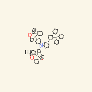 CC12C=CC=CC1Oc1ccccc1[C@]21c2ccccc2-c2cc(N(c3cccc(-c4ccc5c(c4)C(c4ccccc4)(c4ccccc4)c4ccccc4-5)c3)c3ccc4c(c3)-c3ccccc3C43c4ccccc4Oc4ccccc43)ccc21